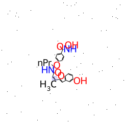 CCCC(NC(=O)/C=C(/C)c1cc2cc(O)ccc2o1)Oc1ccc(C(=O)NO)cc1